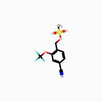 CS(=O)(=O)OCc1ccc(C#N)cc1OC(F)(F)F